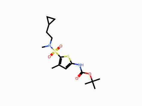 Cc1cc(NC(=O)OC(C)(C)C)sc1S(=O)(=O)N(C)CCC1CC1